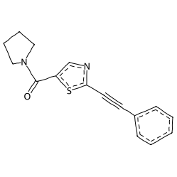 O=C(c1cnc(C#Cc2ccccc2)s1)N1CCCC1